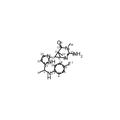 CC(Nc1ccc(F)c([C@]23CC2(C)C(=O)N(C)C(N)=N3)c1)c1ccn[nH]1